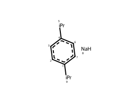 CC(C)c1ccc(C(C)C)cc1.[NaH]